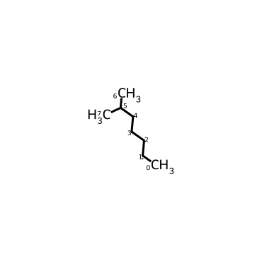 C[CH]CCCC(C)C